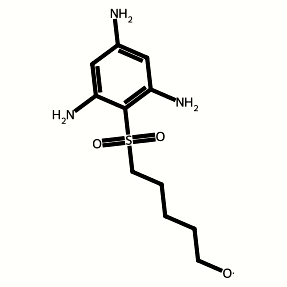 Nc1cc(N)c(S(=O)(=O)CCCCC[O])c(N)c1